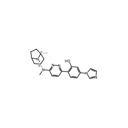 CN(c1ccc(-c2ccc(-n3ccnc3)cc2O)nn1)[C@@H]1CC2CC[C@@](C)(C1)N2C